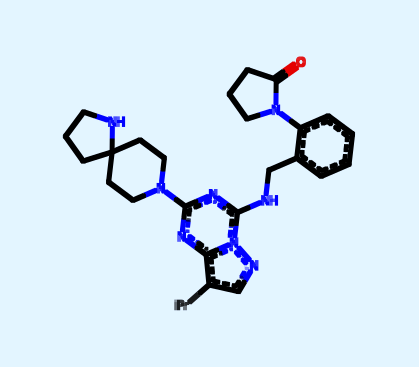 CC(C)c1cnn2c(NCc3ccccc3N3CCCC3=O)nc(N3CCC4(CCCN4)CC3)nc12